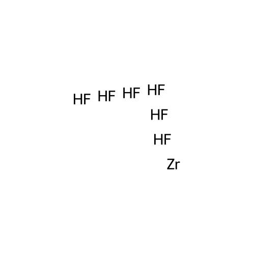 F.F.F.F.F.F.[Zr]